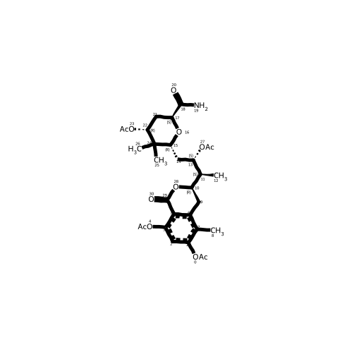 CC(=O)Oc1cc(OC(C)=O)c2c(c1C)C[C@H]([C@H](C)[C@H](C[C@H]1O[C@H](C(N)=O)C[C@@H](OC(C)=O)C1(C)C)OC(C)=O)OC2=O